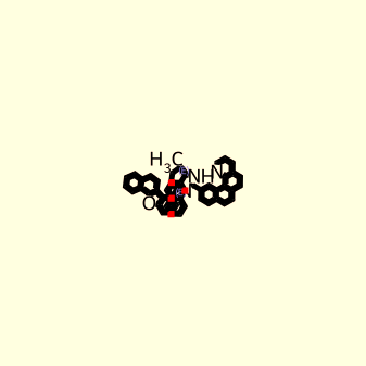 C/C1=C(/c2ccc3ccccc3c2)NC(c2ccc3ccc4ccc5cccnc5c4c3c2)/N=C(/c2cccc3oc4c5ccccc5ccc4c23)CC1